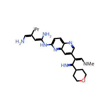 CN/C=C(\C(=N)C1CCOCC1)c1cnc2ccc(N/C(N)=C/C(=C\N)C(C)C)nc2c1